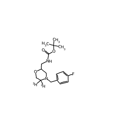 [2H]C1([2H])COC(CNC(=O)OC(C)(C)C)CN1Cc1ccc(F)cc1